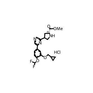 COC(=O)[C@H]1CC(c2cncc(-c3ccc(OC(F)F)c(OCC4CC4)c3)n2)CN1.Cl